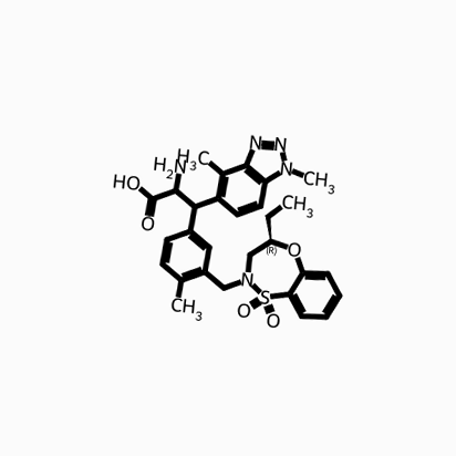 CC[C@@H]1CN(Cc2cc(C(c3ccc4c(nnn4C)c3C)C(N)C(=O)O)ccc2C)S(=O)(=O)c2ccccc2O1